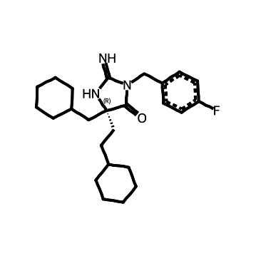 N=C1N[C@](CCC2CCCCC2)(CC2CCCCC2)C(=O)N1Cc1ccc(F)cc1